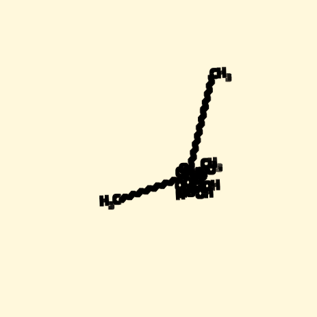 CCCCCCCC/C=C/CCCCCCCCCCCCCC(=O)N[C@@H](OC1OC(CNC(C)=O)C(O)C(O)C1O)C(O)[C@H](O)CCCCCCCCCCCCCCC